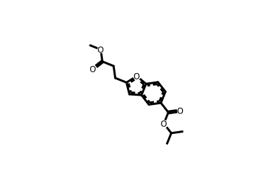 COC(=O)CCc1cc2cc(C(=O)OC(C)C)ccc2o1